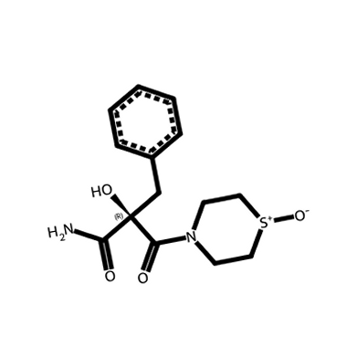 NC(=O)[C@](O)(Cc1ccccc1)C(=O)N1CC[S+]([O-])CC1